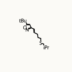 CC(C)CSCCC/C=C/c1cc(C(C)(C)C)on1